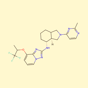 Cc1nccc(N2CC3CCC[C@@H](Nc4nc5c(OC(C)C(F)(F)F)cccn5n4)[C@@H]3C2)n1